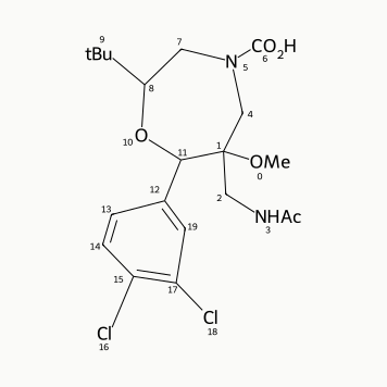 COC1(CNC(C)=O)CN(C(=O)O)CC(C(C)(C)C)OC1c1ccc(Cl)c(Cl)c1